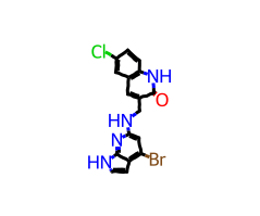 O=c1[nH]c2ccc(Cl)cc2cc1CNc1cc(Br)c2cc[nH]c2n1